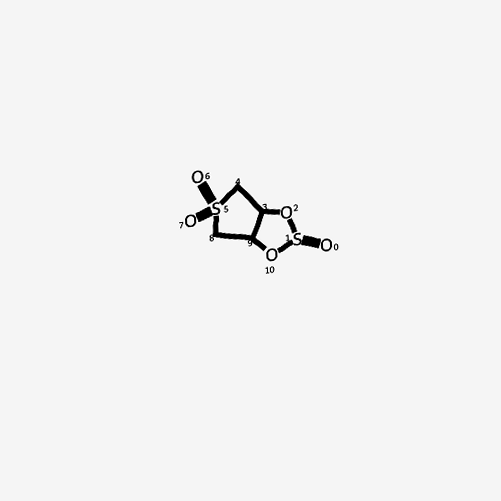 O=S1OC2CS(=O)(=O)CC2O1